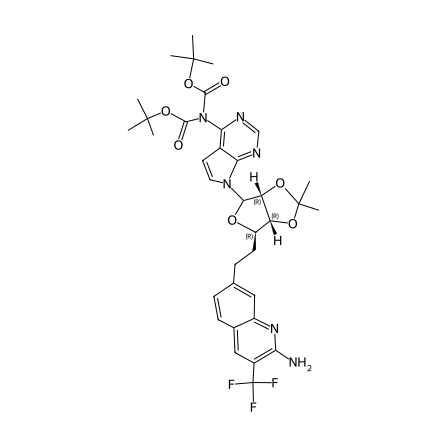 CC(C)(C)OC(=O)N(C(=O)OC(C)(C)C)c1ncnc2c1ccn2C1O[C@H](CCc2ccc3cc(C(F)(F)F)c(N)nc3c2)[C@H]2OC(C)(C)O[C@@H]12